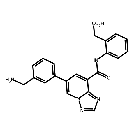 NCc1cccc(-c2cc(C(=O)Nc3ccccc3CC(=O)O)c3ncnn3c2)c1